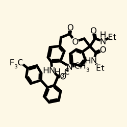 CCNC(=O)C(COC(=O)Cc1ccc(NC(=O)c2ccccc2-c2ccc(C(F)(F)F)cc2)c(N(C)C)c1)(C(=O)NCC)c1ccccc1